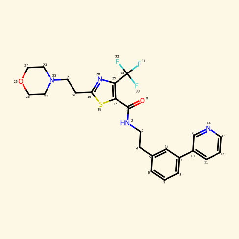 O=C(NCCc1cccc(-c2cccnc2)c1)c1sc(CCN2CCOCC2)nc1C(F)(F)F